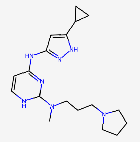 CN(CCCN1CCCC1)C1N=C(Nc2cc(C3CC3)[nH]n2)C=CN1